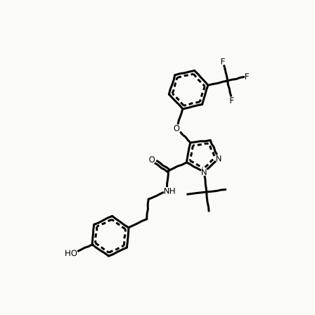 CC(C)(C)n1ncc(Oc2cccc(C(F)(F)F)c2)c1C(=O)NCCc1ccc(O)cc1